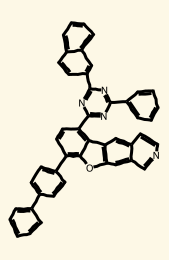 c1ccc(-c2ccc(-c3ccc(-c4nc(-c5ccccc5)nc(-c5ccc6ccccc6c5)n4)c4c3oc3cc5cnccc5cc34)cc2)cc1